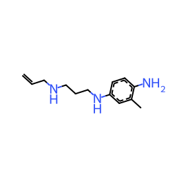 C=CCNCCCNc1ccc(N)c(C)c1